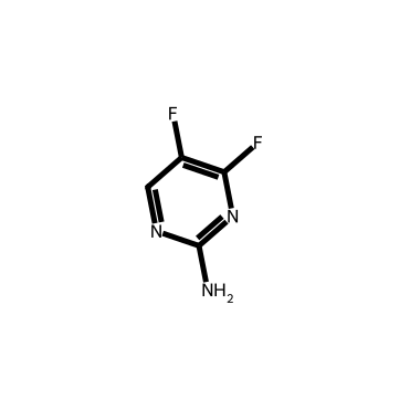 Nc1ncc(F)c(F)n1